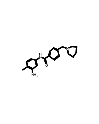 Cc1ccc(NC(=O)c2ccc(CN3CCCCC3)cc2)cc1N